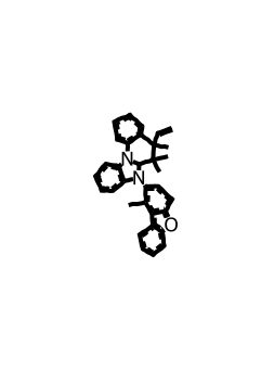 C=CC1(C)c2ccccc2N2c3ccccc3N(c3ccc4oc5ccccc5c4c3C)C2C1(C)C